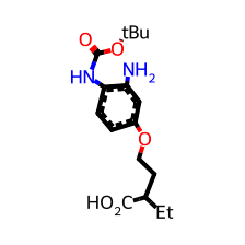 CCC(CCOc1ccc(NC(=O)OC(C)(C)C)c(N)c1)C(=O)O